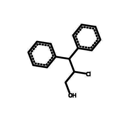 OCC(Cl)C(c1ccccc1)c1ccccc1